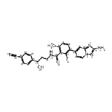 Cc1ccc(-c2ccn3nc(N)nc3c2)c(F)c1C(=O)NCC[C@H](O)c1ccc(C#N)cc1